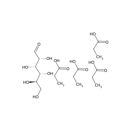 CCC(=O)O.CCC(=O)O.CCC(=O)O.CCC(=O)O.O=C[C@H](O)[C@@H](O)[C@H](O)[C@H](O)CO